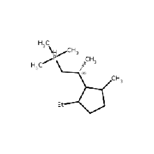 CCC1CCC(C)C1[C@@H](C)C[PH](C)(C)C